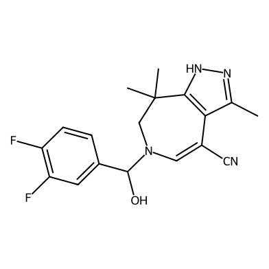 Cc1n[nH]c2c1C(C#N)=CN(C(O)c1ccc(F)c(F)c1)CC2(C)C